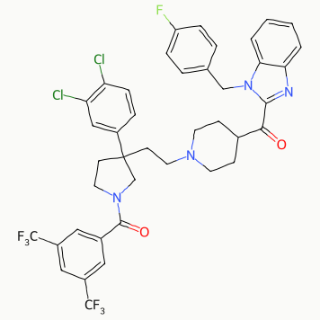 O=C(c1nc2ccccc2n1Cc1ccc(F)cc1)C1CCN(CCC2(c3ccc(Cl)c(Cl)c3)CCN(C(=O)c3cc(C(F)(F)F)cc(C(F)(F)F)c3)C2)CC1